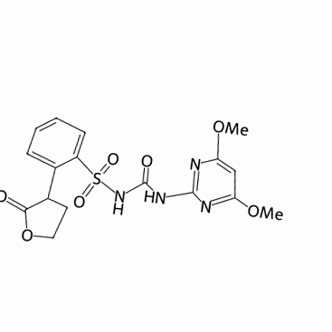 COc1cc(OC)nc(NC(=O)NS(=O)(=O)c2ccccc2C2CCOC2=O)n1